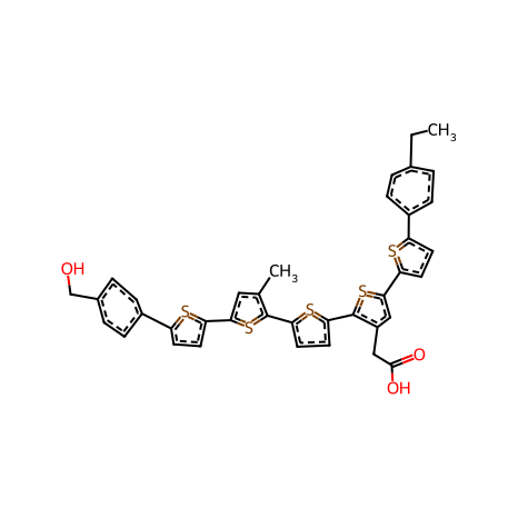 CCc1ccc(-c2ccc(-c3cc(CC(=O)O)c(-c4ccc(-c5sc(-c6ccc(-c7ccc(CO)cc7)s6)cc5C)s4)s3)s2)cc1